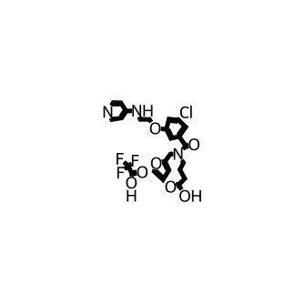 O=C(O)C(F)(F)F.O=C(O)CCCN(Cc1ccco1)C(=O)c1cc(Cl)cc(OCCNc2ccncc2)c1